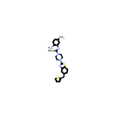 CO/C(=N\c1cc(C)ccc1C)N1CCN(c2nc3cc(Cc4cccs4)ccc3s2)CC1